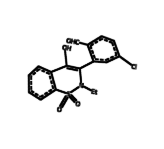 CCN1C(c2cc(Cl)ccc2C=O)=C(O)c2ccccc2S1(=O)=O